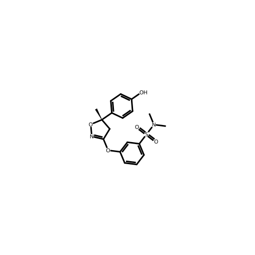 CN(C)S(=O)(=O)c1cccc(OC2=NO[C@](C)(c3ccc(O)cc3)C2)c1